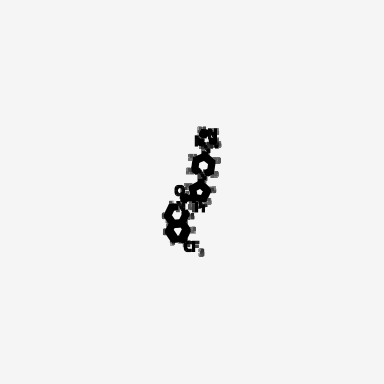 CC(C)[C@]1(C(=O)N2CCc3ccc(C(F)(F)F)cc3C2)CCC(N2CCC(n3ncnn3)CC2)C1